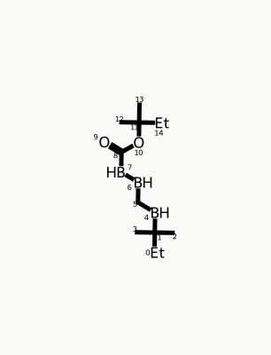 CCC(C)(C)BCBBC(=O)OC(C)(C)CC